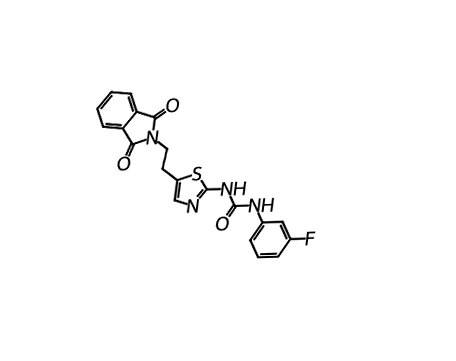 O=C(Nc1cccc(F)c1)Nc1ncc(CCN2C(=O)c3ccccc3C2=O)s1